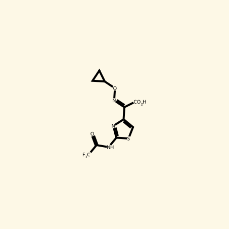 O=C(O)C(=NOC1CC1)c1csc(NC(=O)C(F)(F)F)n1